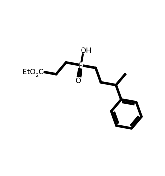 CCOC(=O)CCP(=O)(O)CCC(C)c1ccccc1